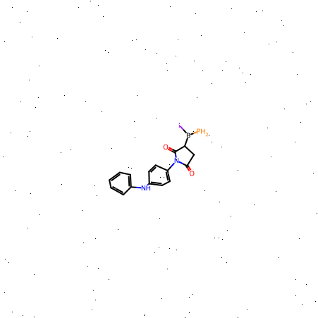 O=C1CC(B(P)I)C(=O)N1c1ccc(Nc2ccccc2)cc1